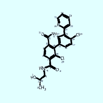 C[C@@H](O)CNC(=O)c1ccc(C(N)=O)c(-c2ccc(Cl)c(-c3ccccn3)c2)c1Cl